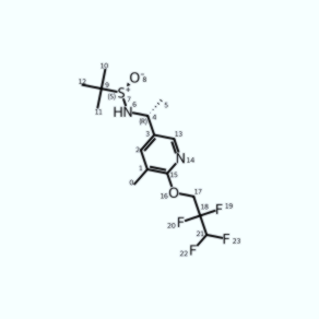 Cc1cc([C@@H](C)N[S@+]([O-])C(C)(C)C)cnc1OCC(F)(F)C(F)F